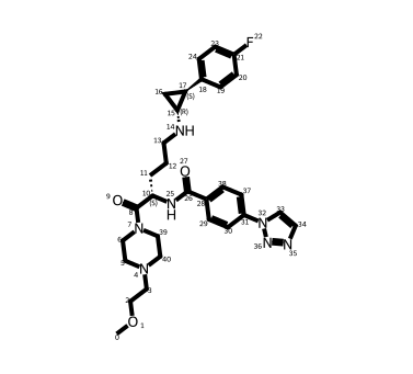 COCCN1CCN(C(=O)[C@H](CCCN[C@@H]2C[C@H]2c2ccc(F)cc2)NC(=O)c2ccc(-n3ccnn3)cc2)CC1